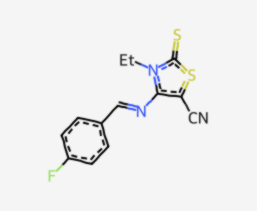 CCn1c(/N=C/c2ccc(F)cc2)c(C#N)sc1=S